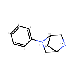 [c]1ccccc1N1CC2CC1CN2